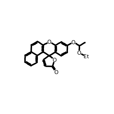 CCOC(C)Oc1ccc2c(c1)Oc1ccc3ccccc3c1C21OC(=O)c2ccccc21